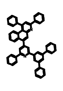 c1ccc(-c2cc(-c3ccccc3)cc(-c3cc(-c4cc5nc(-c6ccccc6)cc(-c6ccccc6)c5c5ccccc45)cc(-c4ccccc4)n3)c2)cc1